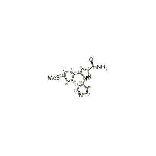 CSc1ccc(-c2cc(C(N)=O)nn2-c2ccncc2)cc1